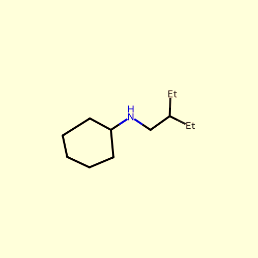 CCC(CC)CNC1CCCCC1